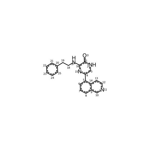 O=c1[nH]cc(-c2cccc3cnccc23)nc1NCCc1ccccc1